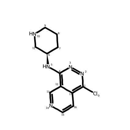 Clc1nnc(N[C@@H]2CCCNC2)c2cnccc12